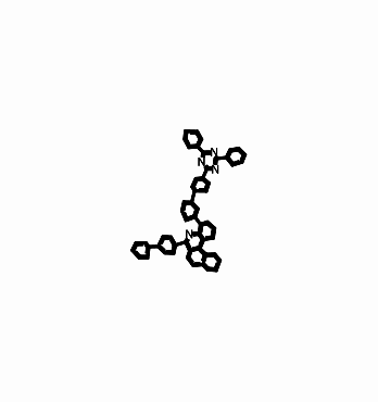 c1ccc(-c2ccc(-c3nc4c(-c5cccc(-c6ccc(-c7nc(-c8ccccc8)nc(-c8ccccc8)n7)cc6)c5)cccc4c4c3ccc3ccccc34)cc2)cc1